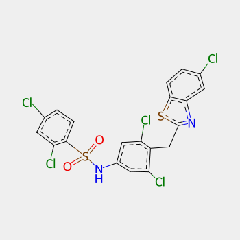 O=S(=O)(Nc1cc(Cl)c(Cc2nc3cc(Cl)ccc3s2)c(Cl)c1)c1ccc(Cl)cc1Cl